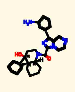 Nc1cccc(-c2nc(C(=O)N3CC[C@](O)(c4ccccc4)[C@H]4CCCC[C@H]43)n3ccncc23)c1